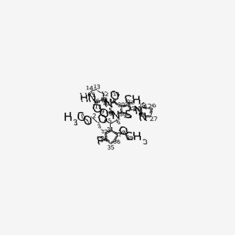 COCCOC(Cn1c(=O)n([C@H]2CCCNC2=O)c(=O)c2c(C)c(-n3cccn3)sc21)c1cc(F)ccc1OC